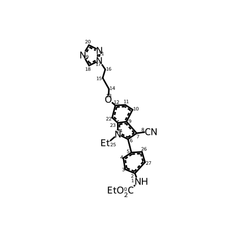 CCOC(=O)Nc1ccc(-c2c(C#N)c3ccc(OCCCn4cncn4)cc3n2CC)cc1